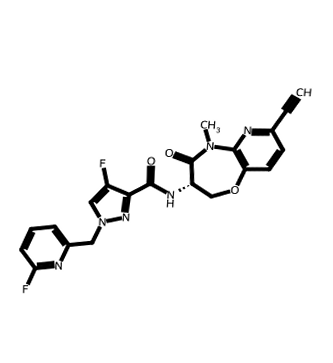 C#Cc1ccc2c(n1)N(C)C(=O)[C@@H](NC(=O)c1nn(Cc3cccc(F)n3)cc1F)CO2